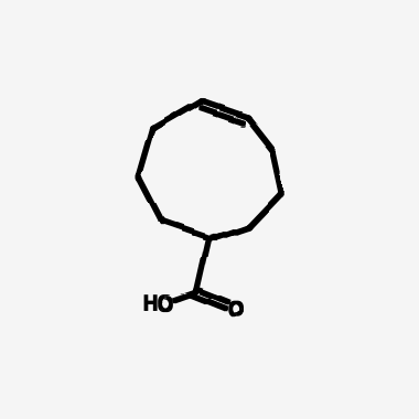 O=C(O)C1CCCC=CCCC1